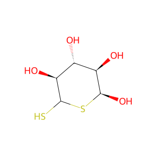 O[C@@H]1[C@@H](O)[C@@H](O)SC(S)[C@H]1O